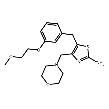 COCCOc1cccc(Cc2sc(N)nc2CN2CCOCC2)c1